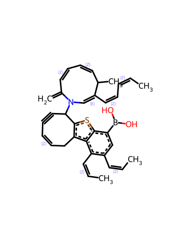 C=C1/C=C\C=C/C(C)C(/C=C\C=C/C)=C\N1C1C#C/C=C\Cc2c1sc1c(B(O)O)cc(/C=C\C)c(/C=C\C)c21